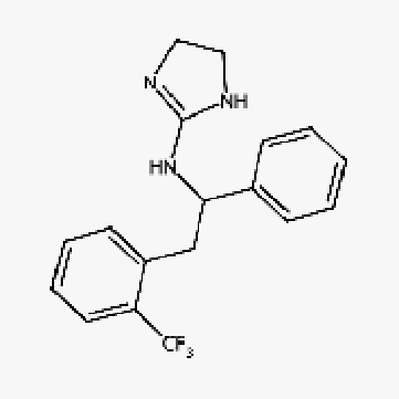 FC(F)(F)c1ccccc1CC(NC1=NCCN1)c1ccccc1